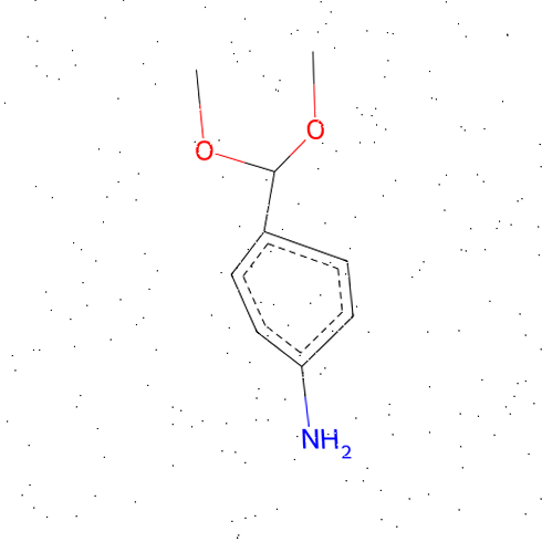 COC(OC)c1ccc(N)cc1